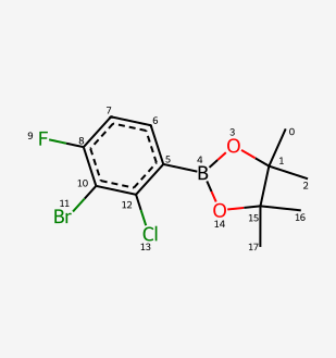 CC1(C)OB(c2ccc(F)c(Br)c2Cl)OC1(C)C